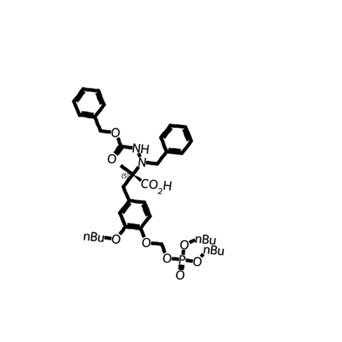 CCCCOc1cc(C[C@@](C)(C(=O)O)N(Cc2ccccc2)NC(=O)OCc2ccccc2)ccc1OCOP(=O)(OCCCC)OCCCC